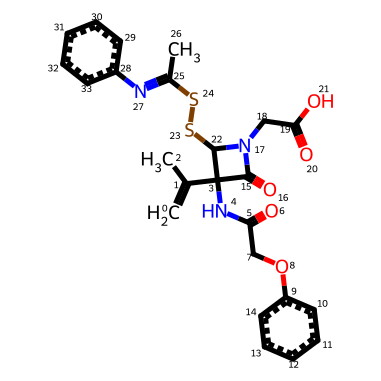 C=C(C)C1(NC(=O)COc2ccccc2)C(=O)N(CC(=O)O)C1SSC(C)=Nc1ccccc1